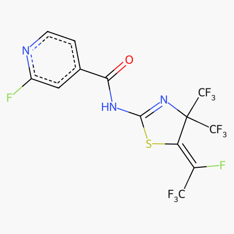 O=C(NC1=NC(C(F)(F)F)(C(F)(F)F)C(=C(F)C(F)(F)F)S1)c1ccnc(F)c1